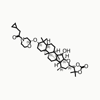 C[C@@H]1C[C@H]([C@@H]2OC(=O)OC2(C)C)O[C@H]2[C@H]1[C@@]1(C)CC[C@@]34C[C@@]35CC[C@H](O[C@H]3CN(C(=O)CC6CC6)CCO3)C(C)(C)[C@@H]5CC[C@H]4[C@]1(C)[C@H]2O